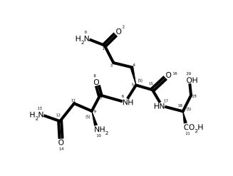 NC(=O)CC[C@H](NC(=O)[C@@H](N)CC(N)=O)C(=O)N[C@@H](CO)C(=O)O